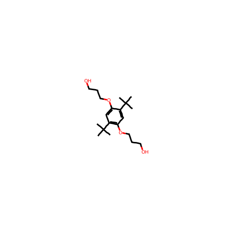 CC(C)(C)c1cc(OCCCO)c(C(C)(C)C)cc1OCCCO